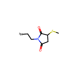 [2H]CCN1C(=O)CC(SC)C1=O